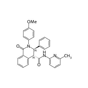 COc1ccc(N2C(=O)c3ccccc3[C@@H](C(=O)Nc3cccc(C)n3)[C@@H]2c2ccccc2)cc1